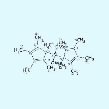 CO[Si](OC)(C1(C)C(C)=C(C)C(C)=C1C)C1(C)C(C)=C(C)C(C)=C1C